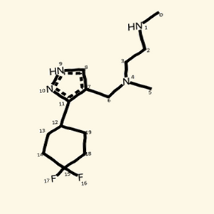 CNCCN(C)Cc1c[nH]nc1C1CCC(F)(F)CC1